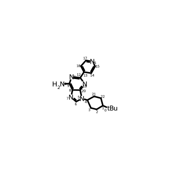 CC(C)(C)C1CCC(n2cnc3c(N)nc(-c4ccncc4)nc32)CC1